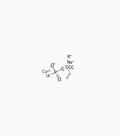 C=CC(=O)[O-].O=P([O-])([O-])[O-].[Ca+2].[K+].[Na+]